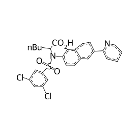 CCCCC(C(=O)O)N(c1ccc2cc(-c3ccccn3)ccc2c1)S(=O)(=O)c1cc(Cl)cc(Cl)c1